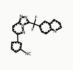 [C-]#[N+]c1cccc(-c2ccc3nnc(C(F)(F)c4ccc5ncccc5c4)n3n2)c1